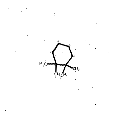 CC1(C)CCCCC1(C)C